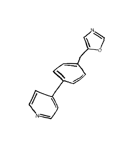 c1cc(-c2ccc(-c3cnco3)cc2)ccn1